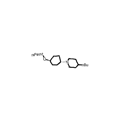 CCCCCO[C@H]1CC[C@H](N2CCC(CCCC)CC2)CC1